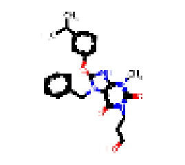 CC(C)c1cccc(OC2Nc3c(c(=O)n(CCCO)c(=O)n3C)N2Cc2ccccc2)c1